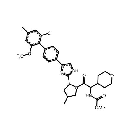 COC(=O)NC(C(=O)N1CC(C)C[C@H]1c1nc(-c2ccc(-c3c(Cl)cc(C)cc3OC(F)(F)F)cc2)c[nH]1)C1CCOCC1